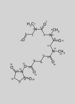 CN(CC=O)C(=O)CN(C)C(=O)CN(C)C(=O)CCCC(=O)ON1C(=O)CCC1=O